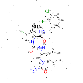 CC(=O)N[C@@H]1C(F)CN(C(=O)Nc2cn(C(N)=O)c3ccccc23)[C@@H]1C(=O)NCc1cccc(Cl)c1F